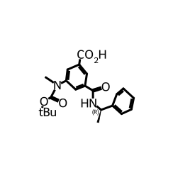 C[C@@H](NC(=O)c1cc(C(=O)O)cc(N(C)C(=O)OC(C)(C)C)c1)c1ccccc1